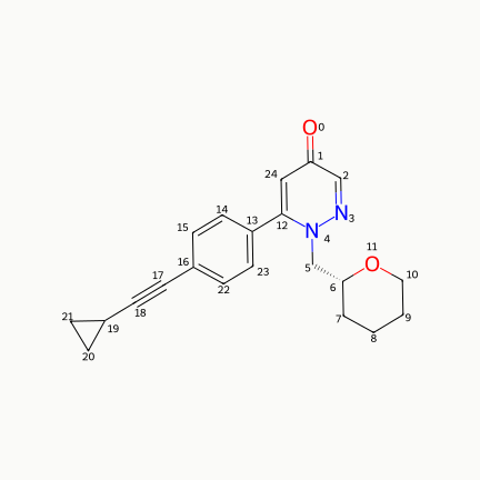 O=c1cnn(C[C@H]2CCCCO2)c(-c2ccc(C#CC3CC3)cc2)c1